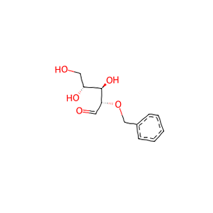 O=C[C@@H](OCc1ccccc1)[C@H](O)[C@H](O)CO